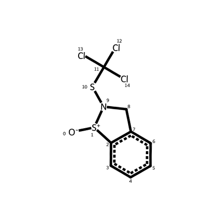 [O-][S+]1c2ccccc2CN1SC(Cl)(Cl)Cl